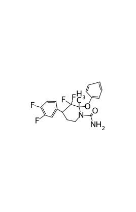 CC1(Oc2ccccc2)N(C(N)=O)CCC(c2ccc(F)c(F)c2)C1(F)F